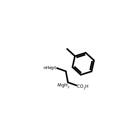 CCCCCCCCCC(=O)O.Cc1ccccc1.[MgH2]